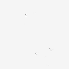 CON(C)C(=O)c1ccc2[nH]c(=O)n(C)c2c1